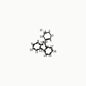 C[C@@H]1CCC=C(n2c3ccccc3c3ccccc32)C1